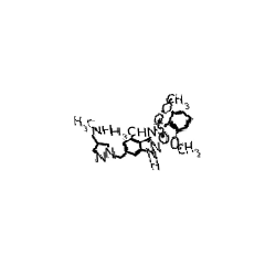 CNCc1cnn(Cc2cc(C)c3c(NS(=O)(=O)c4c(OC)cccc4OC)n[nH]c3c2)c1